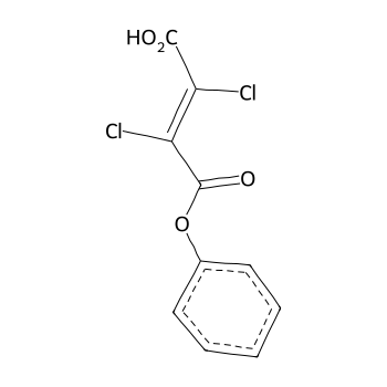 O=C(O)C(Cl)=C(Cl)C(=O)Oc1ccccc1